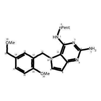 CCCCCNc1nc(N)nc2ccn(Cc3cc(COC)ccc3OC)c12